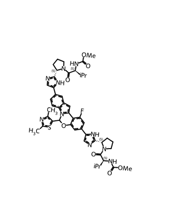 COC(=O)N[C@H](C(=O)N1CCC[C@H]1c1ncc(-c2cc(F)c3c(c2)OC(c2sc(C)nc2C)n2c-3cc3cc(-c4cnc([C@@H]5CCCN5C(=O)[C@@H](NC(=O)OC)C(C)C)[nH]4)ccc32)[nH]1)C(C)C